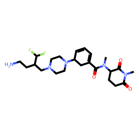 CN1C(=O)CCC(N(C)C(=O)C2=CC=CC(N3CCN(CC(CCN)C(F)F)CC3)C2)C1=O